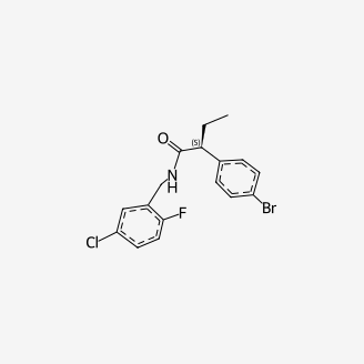 CC[C@H](C(=O)NCc1cc(Cl)ccc1F)c1ccc(Br)cc1